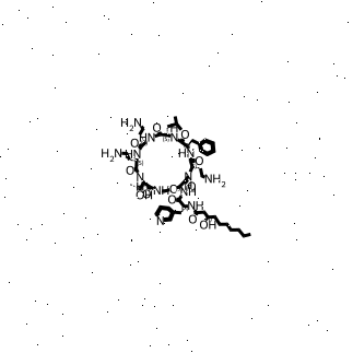 CCCCCCC[C@@H](O)CC(=O)N[C@H](Cc1cccnc1)C(=O)N[C@H]1CCNC(=O)[C@H]([C@@H](C)O)NC(=O)[C@H](CCN)NC(=O)[C@H](CCN)NC(=O)[C@H](CC(C)C)NC(=O)[C@@H](Cc2ccccc2)NC(=O)[C@H](CCN)NC1=O